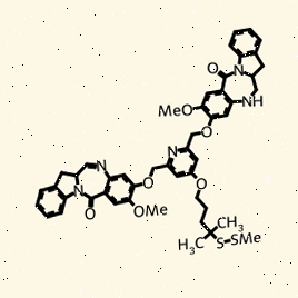 COc1cc2c(cc1OCc1cc(OCCCC(C)(C)SSC)cc(COc3cc4c(cc3OC)C(=O)N3c5ccccc5CC3CN4)n1)N=CC1Cc3ccccc3N1C2=O